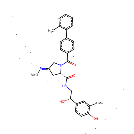 CO/N=C1\C[C@@H](C(=O)NC[C@@H](O)c2ccc(O)c(OC)c2)N(C(=O)c2ccc(-c3ccccc3C)cc2)C1